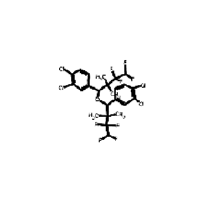 CC(C)(C(OC(c1ccc(Cl)c(Cl)c1)C(C)(C)C(F)(F)C(F)F)c1ccc(Cl)c(Cl)c1)C(F)(F)C(F)F